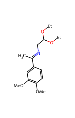 CCOC(C/N=C(\C)c1ccc(OC)c(OC)c1)OCC